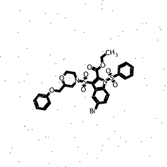 CCOC(=O)c1c(S(=O)(=O)N2CCOC(COc3ccccc3)C2)c2cc(Br)ccc2n1S(=O)(=O)c1ccccc1